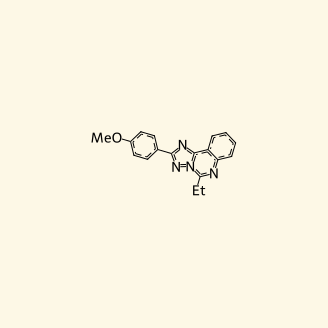 CCc1nc2ccccc2c2nc(-c3ccc(OC)cc3)nn12